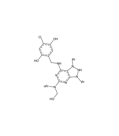 CCCN(CO)c1nc(NCc2cc(O)c(Cl)cc2O)c2c(n1)N(C(C)C)NN2C(C)C